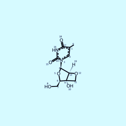 Cc1cn([C@@H]2O[C@H](CO)[C@]3(O)CO[C@H]23)c(=O)[nH]c1=O